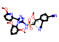 COc1cccc(-c2nnc(NS(=O)(=O)[C@@H](C)[C@@H](OC)c3ccc(C#N)cc3C#N)n2-c2c(OC)cccc2OC)n1